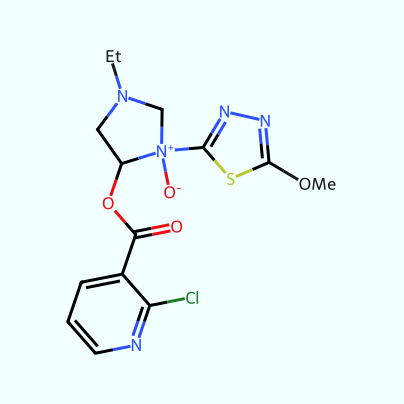 CCN1CC(OC(=O)c2cccnc2Cl)[N+]([O-])(c2nnc(OC)s2)C1